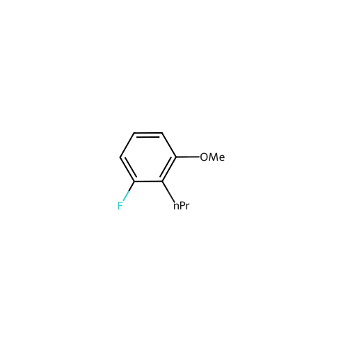 CCCc1c(F)cccc1OC